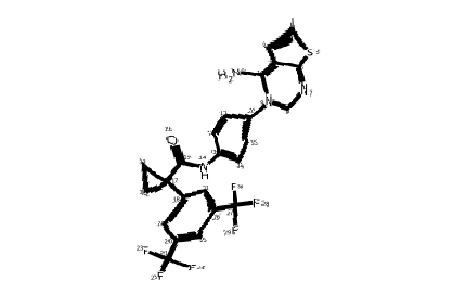 NC1=c2ccsc2=NCN1c1ccc(NC(=O)C2(c3cc(C(F)(F)F)cc(C(F)(F)F)c3)CC2)cc1